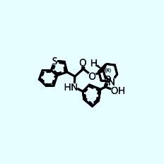 O=C(O)c1cccc(NC(C(=O)O[C@H]2CN3CCC2CC3)c2csc3ccccc23)c1